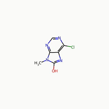 Cn1c(O)nc2c(Cl)ncnc21